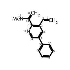 C=Cc1cc(-c2ccccc2)cnc1C(=C)NC